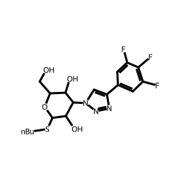 CCCCSC1OC(CO)C(O)C(n2cc(-c3cc(F)c(F)c(F)c3)nn2)C1O